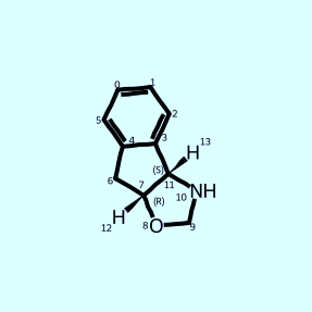 c1ccc2c(c1)C[C@H]1OCN[C@@H]21